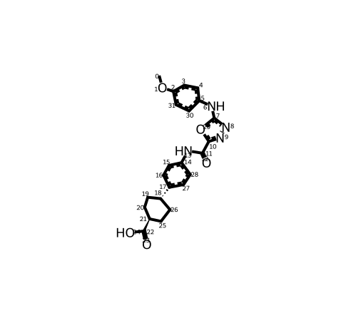 COc1ccc(Nc2nnc(C(=O)Nc3ccc([C@H]4CC[C@H](C(=O)O)CC4)cc3)o2)cc1